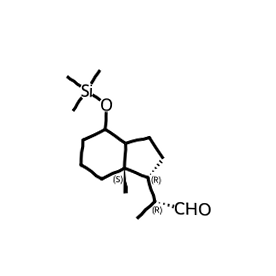 C[C@@H](C=O)[C@H]1CCC2C(O[Si](C)(C)C)CCC[C@]21C